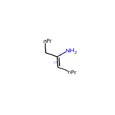 CCC/C=C(\N)CCCC